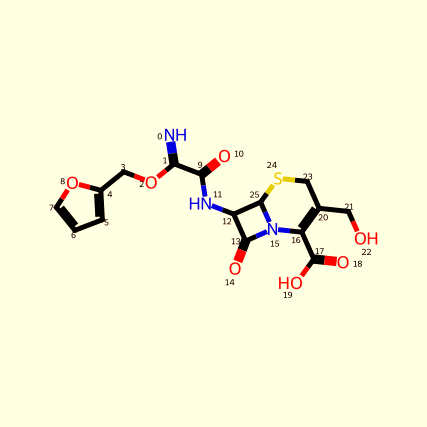 N=C(OCc1ccco1)C(=O)NC1C(=O)N2C(C(=O)O)=C(CO)CSC12